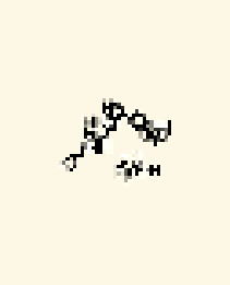 COCCCNC(=O)Cc1cc2c(-c3ccc(NS(C)(=O)=O)cc3)ccnc2[nH]1.O=C(O)C(F)(F)F